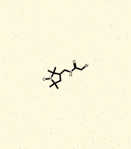 CC1(C)CC(CNC(=O)CBr)C(C)(C)N1[O]